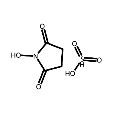 O=C1CCC(=O)N1O.O=[SH](=O)O